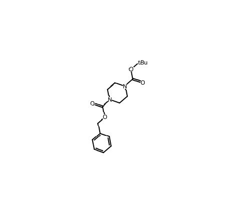 CC(C)(C)OC(=O)N1CCN(C(=O)OCc2ccccc2)CC1